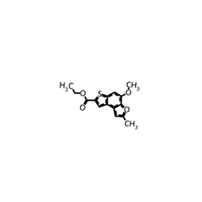 CCOC(=O)c1cc2c(cc(OC)c3oc(C)cc32)s1